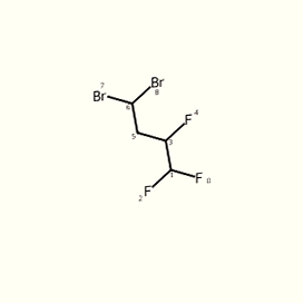 FC(F)C(F)CC(Br)Br